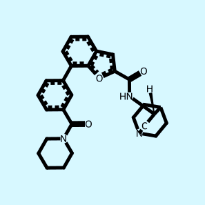 O=C(N[C@H]1CN2CCC1CC2)c1cc2cccc(-c3cccc(C(=O)N4CCCCC4)c3)c2o1